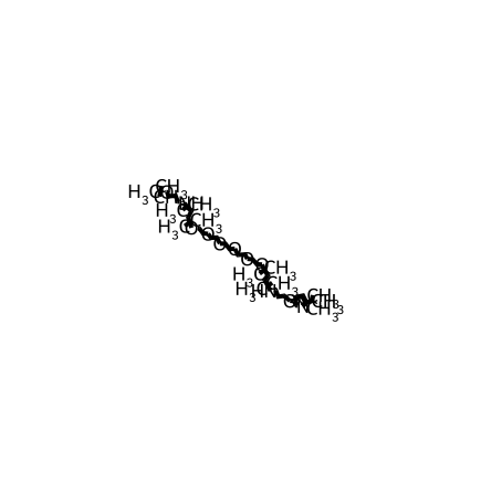 CC(C)(CCC(C)(C)OCCOCCOCCOCCOCCOC(C)(C)CCC(C)(C)NCCCOC(C)(C)C)NCCCOc1ccc(C(C)(C)C)nc1